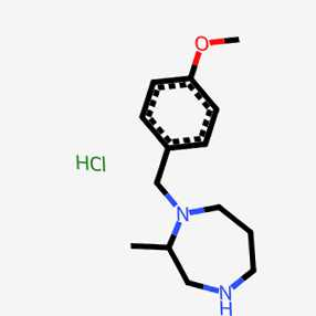 COc1ccc(CN2CCCNCC2C)cc1.Cl